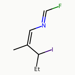 CCC(I)/C(C)=C\N=C\F